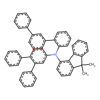 CC1(C)c2ccccc2-c2c(N(c3ccc(-c4ccccc4)c(-c4ccccc4)c3)c3ccccc3-c3cccc(-c4ccccc4)c3)cccc21